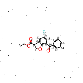 CCOC(=O)C1COc2c(C(=O)c3ccccc3)cc(F)cc21